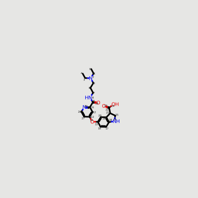 CCN(CC)CCCNC(=O)c1cc(Oc2ccc3c(c2)C(C(=O)O)CN3)ccn1